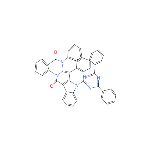 O=c1c2ccccc2n2c(=O)c3c4ccccc4n(-c4nc(-c5ccccc5)nc(-c5ccccc5)n4)c3c(-c3ccccc3)c2n1-c1ccccc1